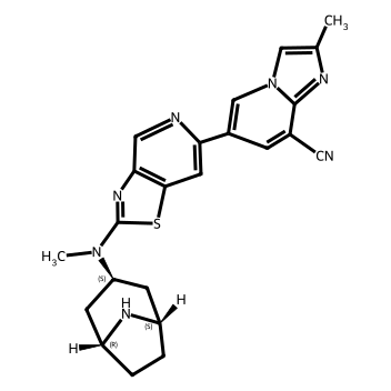 Cc1cn2cc(-c3cc4sc(N(C)[C@@H]5C[C@H]6CC[C@@H](C5)N6)nc4cn3)cc(C#N)c2n1